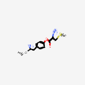 CC(=O)SCC(N)C(=O)Oc1ccc(CC(N)C(=O)O)cc1